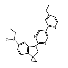 CCc1ccnc(-c2cnc(N3CC4(CC4)c4ccc([S+]([O-])CC)cc43)nc2)c1